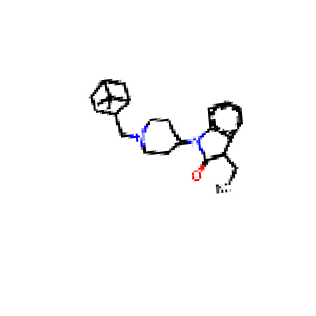 CC1(C)C2CCC(CN3CCC(N4C(=O)C(CC#N)c5ccccc54)CC3)C1C2